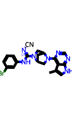 Cc1c[nH]c2ncnc(N3CC4CC3CN4/C(=N\C#N)Nc3cccc(Br)c3)c12